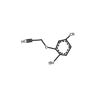 C#CCOc1cc(C#N)ccc1C(C)(C)C